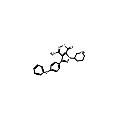 Nc1noc(=O)c2c1c(-c1ccc(Oc3ccccc3)cc1)nn2C1CCCNC1